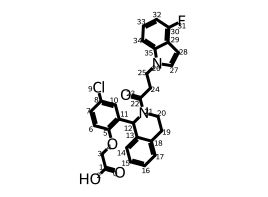 O=C(O)COc1ccc(Cl)cc1C1c2ccccc2CCN1C(=O)CCn1ccc2c(F)cccc21